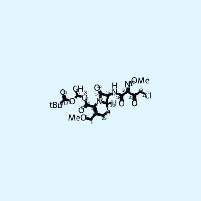 COCC1=C(C(=O)OC(C)OC(=O)C(C)(C)C)N2C(=O)C(NC(=O)C(=NOC)C(=O)CCl)[C@@H]2SC1